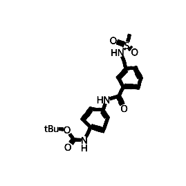 CC(C)(C)OC(=O)Nc1ccc(NC(=O)c2cccc(NS(C)(=O)=O)c2)cc1